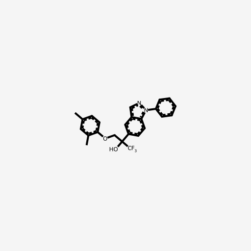 Cc1ccc(OCC(O)(c2ccc3c(cnn3-c3ccccc3)c2)C(F)(F)F)c(C)c1